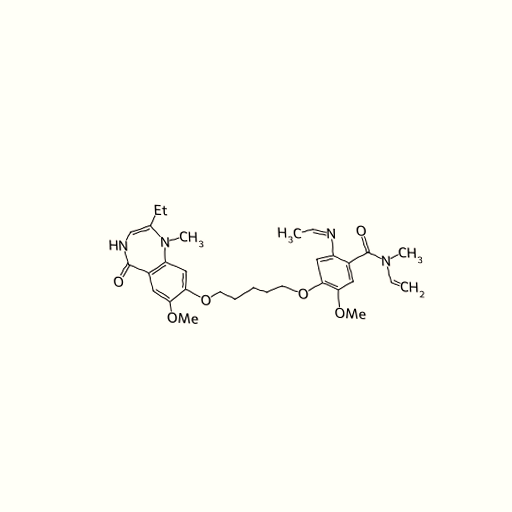 C=CN(C)C(=O)c1cc(OC)c(OCCCCCOc2cc3c(cc2OC)C(=O)NC=C(CC)N3C)cc1/N=C\C